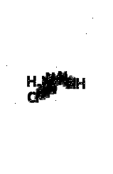 Nc1ncc(-c2cnn(C3CCNCC3)c2)cc1-c1ncc(-c2ccc(Cl)cc2)o1